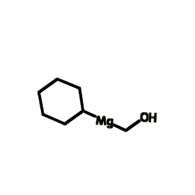 O[CH2][Mg][CH]1CCCCC1